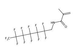 C=C(C)C(=O)NCC(F)(F)C(F)(F)C(F)(F)C(F)(F)C(F)(F)C(F)(F)F